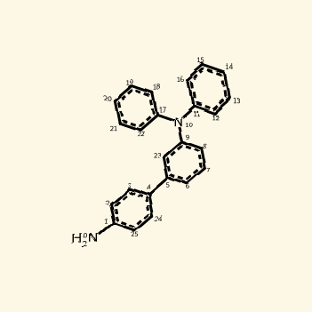 Nc1ccc(-c2cccc(N(c3ccccc3)c3ccccc3)c2)cc1